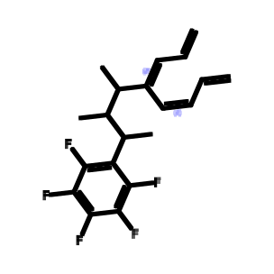 C=C/C=C\C(=C/C=C)C(C)C(C)C(C)c1c(F)c(F)c(F)c(F)c1F